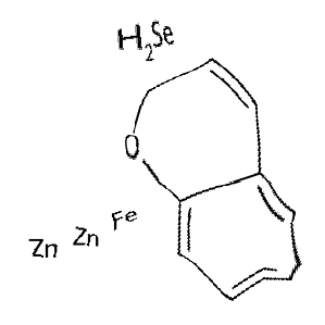 C1=Cc2ccccc2OC1.[Fe].[SeH2].[Zn].[Zn]